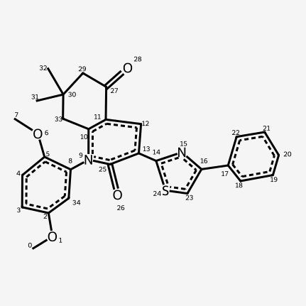 COc1ccc(OC)c(-n2c3c(cc(-c4nc(-c5ccccc5)cs4)c2=O)C(=O)CC(C)(C)C3)c1